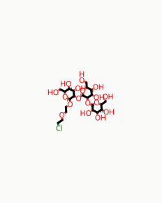 OCC1O[C@@H](OC2C(O)[C@H](O)C(CO)O[C@@H]2OC2C(O)[C@H](O)C(CO)O[C@@H]2OCCOCCCl)C(O)C(O)[C@@H]1O